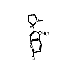 CN1CCC[C@H]1c1cc2nc(Cl)ccc2o1.Cl